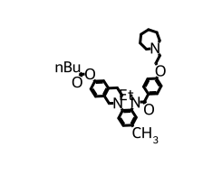 CCCCC(=O)Oc1ccc2c(c1)CCN(c1ccc(C)cc1N(CC)C(=O)c1ccc(OCCN3CCCCCC3)cc1)C2